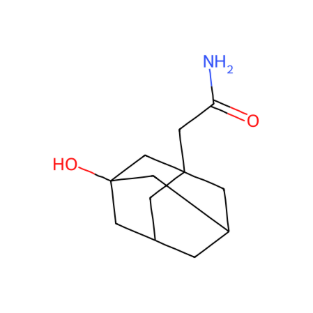 NC(=O)CC12CC3CC(CC(O)(C3)C1)C2